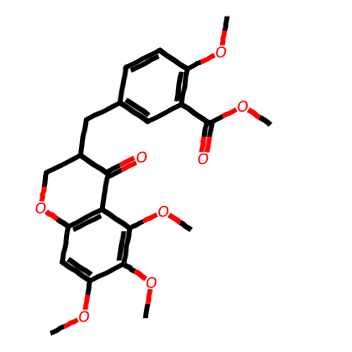 COC(=O)c1cc(CC2COc3cc(OC)c(OC)c(OC)c3C2=O)ccc1OC